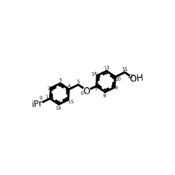 CC(C)c1ccc(COc2ccc(CO)cc2)cc1